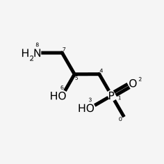 CP(=O)(O)CC(O)CN